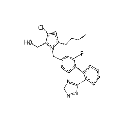 CCCCc1nc(Cl)c(CO)n1Cc1ccc(-c2ccccc2C2=NCN=N2)c(F)c1